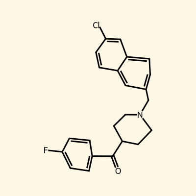 O=C(c1ccc(F)cc1)C1CCN(Cc2ccc3cc(Cl)ccc3c2)CC1